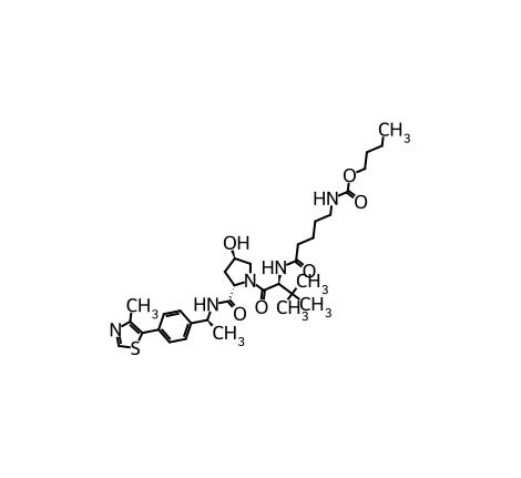 CCCCOC(=O)NCCCCC(=O)N[C@H](C(=O)N1C[C@H](O)C[C@H]1C(=O)N[C@@H](C)c1ccc(-c2scnc2C)cc1)C(C)(C)C